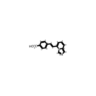 O=C(O)c1ccc(C=Cc2cccc3cncn23)cc1